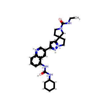 CCNC(=O)N1CCC2(CCn3nc(-c4cnc5cccc(NC(=O)NC6CCCCC6)c5c4)cc32)C1